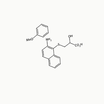 COc1ccccc1.Nc1ccc2ccccc2c1SCC(O)C(=O)O